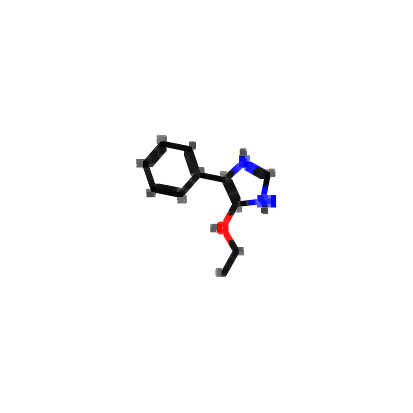 CCOc1[nH][c]nc1-c1ccccc1